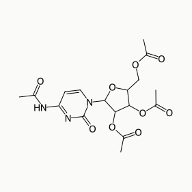 CC(=O)Nc1ccn(C2OC(COC(C)=O)C(OC(C)=O)C2OC(C)=O)c(=O)n1